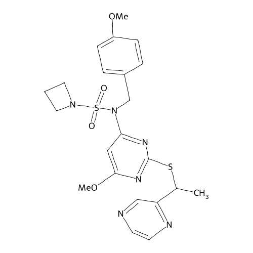 COc1ccc(CN(c2cc(OC)nc(SC(C)c3cnccn3)n2)S(=O)(=O)N2CCC2)cc1